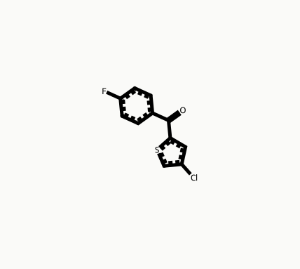 O=C(c1ccc(F)cc1)c1cc(Cl)cs1